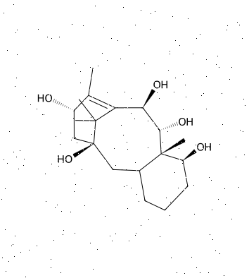 CC1=C2[C@@H](O)[C@H](O)[C@@]3(C)C(CCC[C@@H]3O)C[C@](O)(C[C@@H]1O)C2(C)C